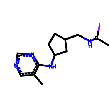 CB(I)NCC1CCC(Nc2ncncc2C)C1